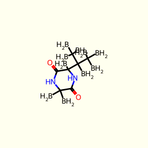 BC1(B)NC(=O)C(B)(C(B)(C(B)(B)B)C(B)(B)B)NC1=O